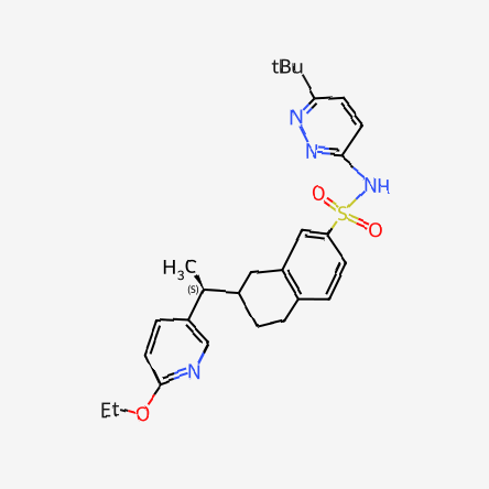 CCOc1ccc([C@@H](C)C2CCc3ccc(S(=O)(=O)Nc4ccc(C(C)(C)C)nn4)cc3C2)cn1